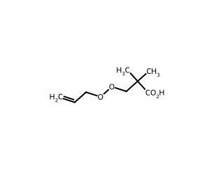 C=CCOOCC(C)(C)C(=O)O